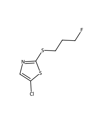 FCCCSc1ncc(Cl)s1